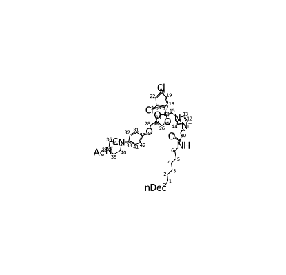 CCCCCCCCCCCCCCCCNC(=O)C[n+]1ccn(C[C@@]2(c3ccc(Cl)cc3Cl)OC[C@@H](COc3ccc(N4CCN(C(C)=O)CC4)cc3)O2)c1